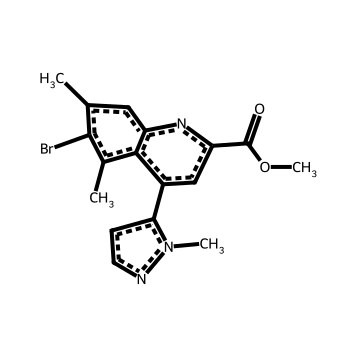 COC(=O)c1cc(-c2ccnn2C)c2c(C)c(Br)c(C)cc2n1